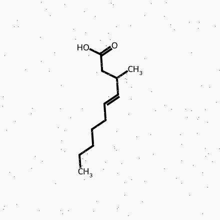 CCCCCC=CC(C)CC(=O)O